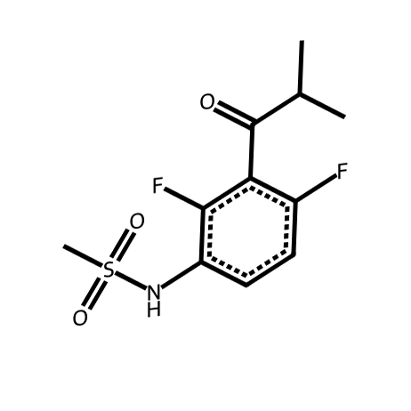 CC(C)C(=O)c1c(F)ccc(NS(C)(=O)=O)c1F